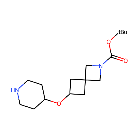 CC(C)(C)OC(=O)N1CC2(CC(OC3CCNCC3)C2)C1